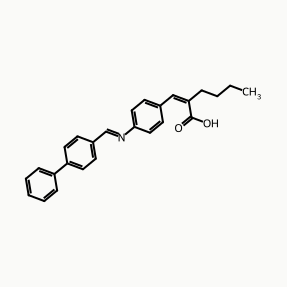 CCCCC(=Cc1ccc(N=Cc2ccc(-c3ccccc3)cc2)cc1)C(=O)O